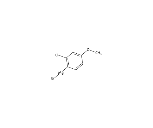 COc1cc[c]([Mg][Br])c(Cl)c1